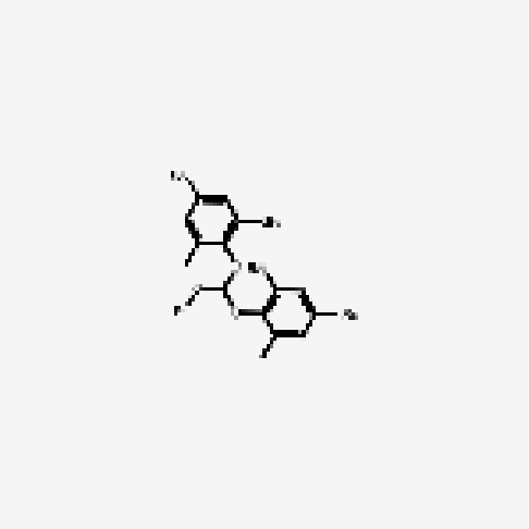 CCOC(Oc1c(C)cc(C(C)(C)C)cc1C(C)(C)C)Oc1c(C)cc(C(C)(C)C)cc1C(C)(C)C